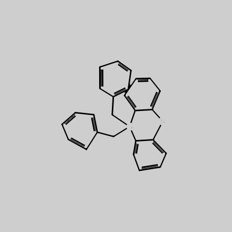 c1ccc(C[Si]2(Cc3ccccc3)c3ccccc3Nc3ccccc32)cc1